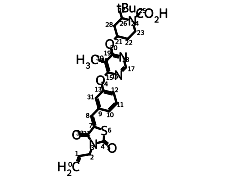 C=CCN1C(=O)S/C(=C\c2cccc(Oc3ncnc(OC4CCN(C(=O)O)C(C(C)(C)C)C4)c3C)c2)C1=O